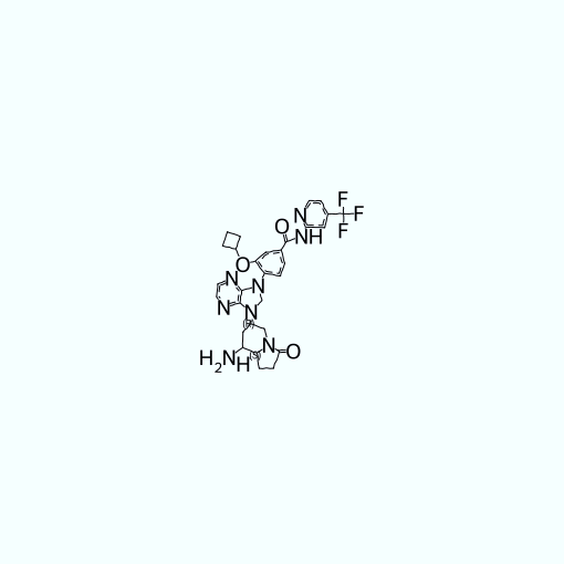 NC1C[C@@H](N2CN(c3ccc(C(=O)Nc4cc(C(F)(F)F)ccn4)cc3OC3CCC3)c3nccnc32)CN2C(=O)CC[C@@H]12